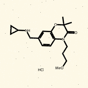 COCCCN1C(=O)C(C)(C)Oc2cc(CNC3CC3)ccc21.Cl